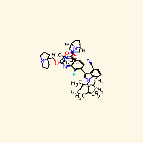 CC(C)[Si](C(C)C)(C(C)C)n1cc(-c2ccc3c(N4C[C@H]5CC[C@@H](C4)N5C(=O)OC(C)(C)C)nc(OCC45CCCN4CCC5)nc3c2F)c2c(C#N)cccc21